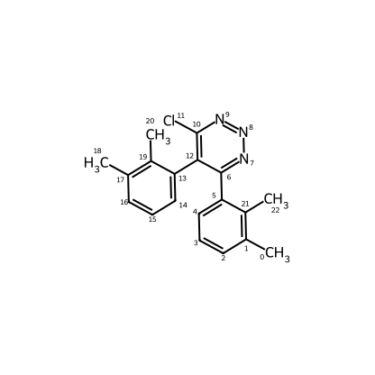 Cc1cccc(-c2nnnc(Cl)c2-c2cccc(C)c2C)c1C